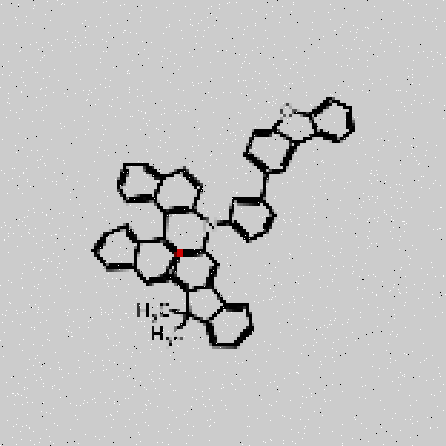 CC1(C)c2ccccc2-c2cc(N(c3cccc(-c4ccc5oc6ccccc6c5c4)c3)c3ccc4ccccc4c3-c3cccc4ccccc34)ccc21